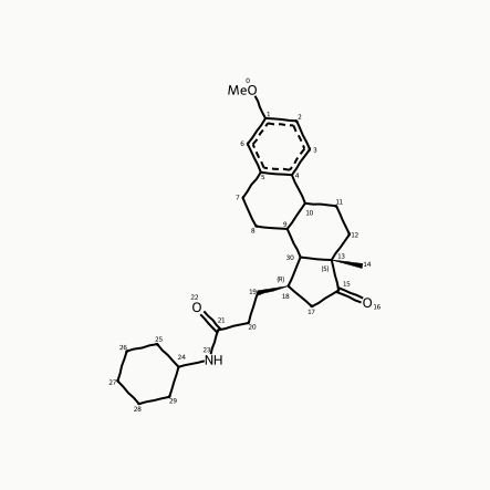 COc1ccc2c(c1)CCC1C2CC[C@]2(C)C(=O)C[C@@H](CCC(=O)NC3CCCCC3)C12